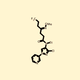 CCN(C(=O)CCC(CCC(F)(F)F)=NOC)c1cn(-c2cccnc2)nc1Cl